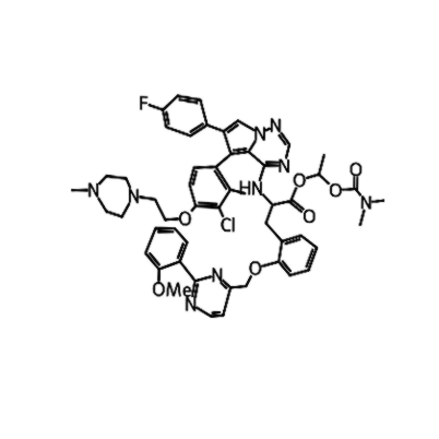 COc1ccccc1-c1nccc(COc2ccccc2CC(Nc2ncnn3cc(-c4ccc(F)cc4)c(-c4ccc(OCCN5CCN(C)CC5)c(Cl)c4C)c23)C(=O)OC(C)OC(=O)N(C)C)n1